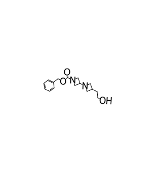 O=C(OCc1ccccc1)N1CC(N2CC(CCO)C2)C1